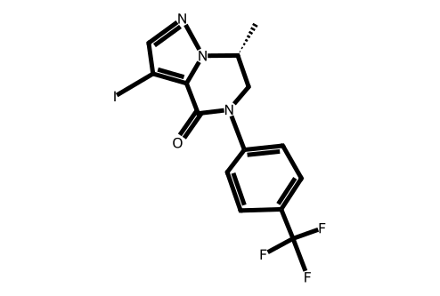 C[C@@H]1CN(c2ccc(C(F)(F)F)cc2)C(=O)c2c(I)cnn21